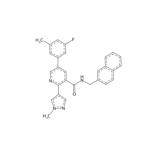 Cc1cc(F)cc(-c2cnc(-c3cnn(C)c3)c(C(=O)NCc3ccc4ccccc4c3)c2)c1